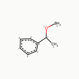 BOC(C)c1ccccc1